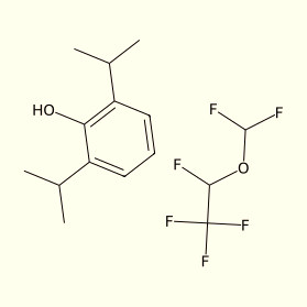 CC(C)c1cccc(C(C)C)c1O.FC(F)OC(F)C(F)(F)F